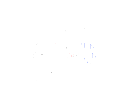 Cc1cccc(-n2nnn(C)c2=O)c1COc1ccc2ccccc2c1C